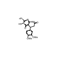 CCCc1nc2c(c(=O)n1S)C(c1ccc(OC)c(OC)c1)CC(=O)N2